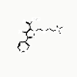 COC(=O)c1c(Br)c(-c2ccnnc2)nn1COCC[Si](C)(C)C